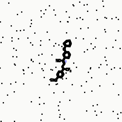 CCOc1ccc(C(C/C=C(\C#N)c2cccc(Oc3ccccc3)c2)C(F)(F)F)cc1